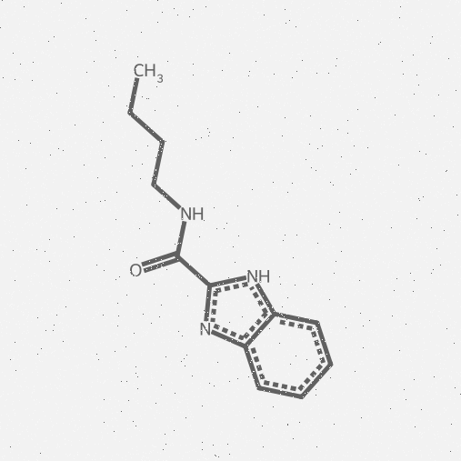 CCCCNC(=O)c1nc2ccccc2[nH]1